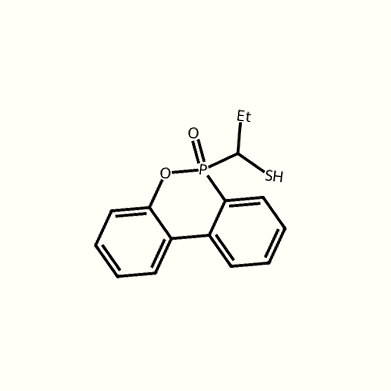 CCC(S)P1(=O)Oc2ccccc2-c2ccccc21